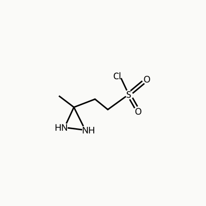 CC1(CCS(=O)(=O)Cl)NN1